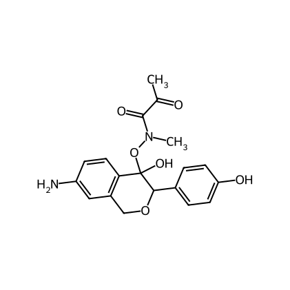 CC(=O)C(=O)N(C)OC1(O)c2ccc(N)cc2COC1c1ccc(O)cc1